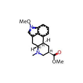 COC(=O)[C@@H]1C[C@@H]2c3cccc4c3c(cn4OC)C[C@H]2N(C)C1